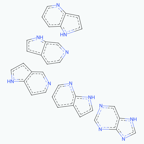 c1cc2[nH]ccc2cn1.c1cc2cc[nH]c2cn1.c1cnc2[nH]ccc2c1.c1cnc2cc[nH]c2c1.c1ncc2[nH]cnc2n1